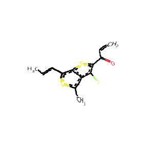 C=CC(=O)c1sc2c(/C=C/C)sc(C)c2c1F